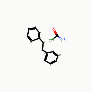 NC(=O)Cl.c1ccc(CCc2ccccc2)cc1